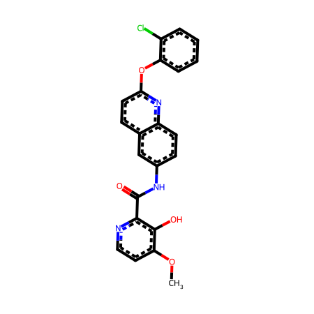 COc1ccnc(C(=O)Nc2ccc3nc(Oc4ccccc4Cl)ccc3c2)c1O